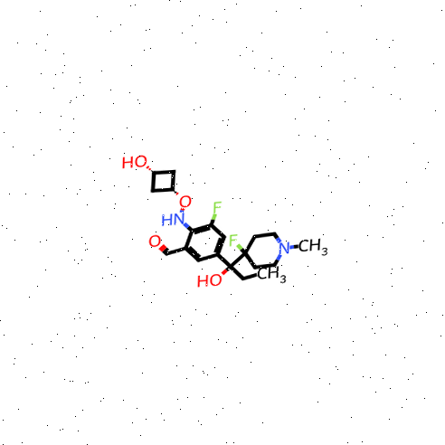 CCC(O)(c1cc(F)c(NO[C@H]2C[C@@H](O)C2)c(C=O)c1)C1(F)CCN(C)CC1